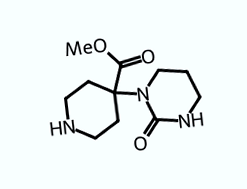 COC(=O)C1(N2CCCNC2=O)CCNCC1